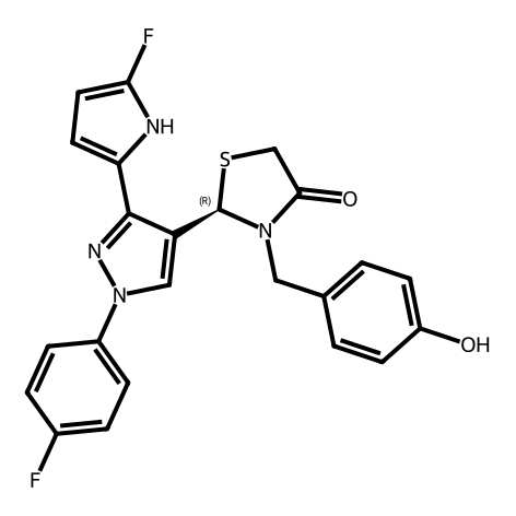 O=C1CS[C@H](c2cn(-c3ccc(F)cc3)nc2-c2ccc(F)[nH]2)N1Cc1ccc(O)cc1